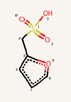 O=S(=O)(O)Cc1ccco1